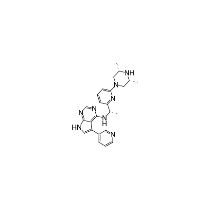 C[C@@H]1CN(c2cccc([C@H](C)Nc3ncnc4[nH]cc(-c5cccnc5)c34)n2)C[C@H](C)N1